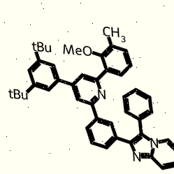 COc1c(C)cccc1-c1cc(-c2cc(C(C)(C)C)cc(C(C)(C)C)c2)cc(-c2cccc(-c3nc4ccccn4c3-c3ccccc3)c2)n1